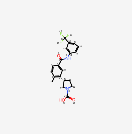 Cc1ccc(C(=O)Nc2cccc(C(F)(F)F)c2)cc1[C@@H]1CCN(C(=O)O)C1